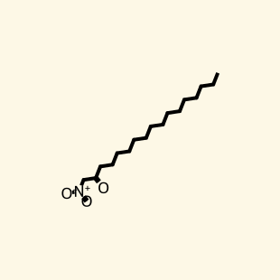 CCCCCCCCCCCCCCCC(=O)C[N+](=O)[O-]